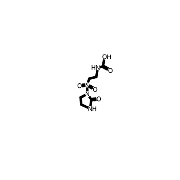 O=C(O)NCCS(=O)(=O)N1CCNC1=O